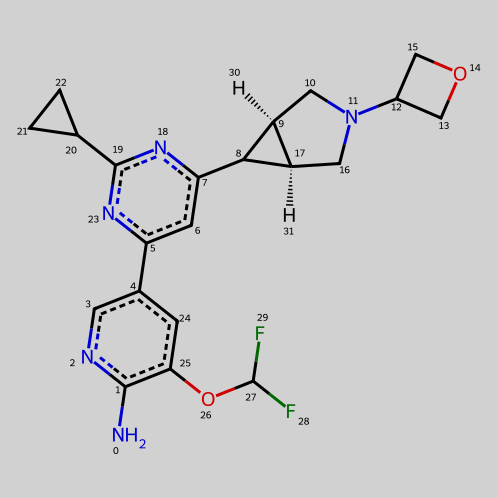 Nc1ncc(-c2cc(C3[C@H]4CN(C5COC5)C[C@@H]34)nc(C3CC3)n2)cc1OC(F)F